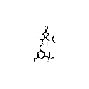 CC(C)SC1(C(=O)NCc2cc(F)cc(C(F)(F)F)c2)CC(=O)C1